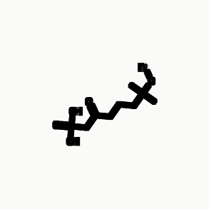 CCOC(C)(C)CCCC(=O)CP(=O)(O)O